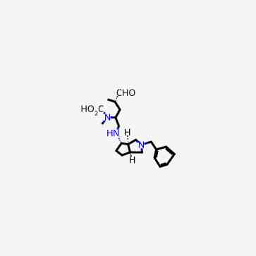 C[C@H](C=O)CC(CN[C@H]1CC[C@@H]2CN(Cc3ccccc3)C[C@@H]21)N(C)C(=O)O